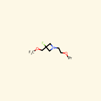 CC(C)OCCN1CC(F)(COC(F)(F)F)C1